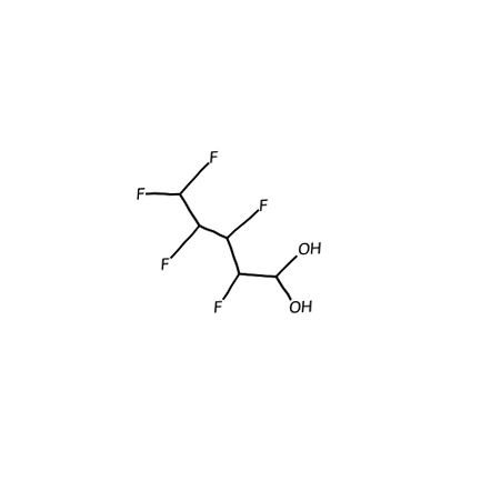 OC(O)C(F)C(F)C(F)C(F)F